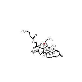 CCCC(=O)OCC(=O)[C@@]1(OC(=O)CC)[C@H](C)C[C@H]2[C@@H]3CCC4=CC(=O)C=C[C@]4(C)[C@@]3(Cl)[C@@H](O)C[C@@]21C